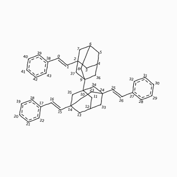 C(=CC12CC3CC(C1)CC(C14CC5CC(C=Cc6ccccc6)(CC(C=Cc6ccccc6)(C5)C1)C4)(C3)C2)c1ccccc1